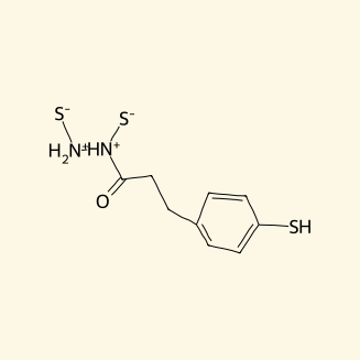 O=C(CCc1ccc(S)cc1)[NH+]([S-])[NH2+][S-]